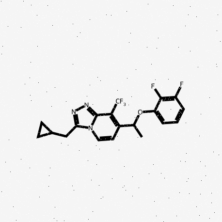 CC(Oc1cccc(F)c1F)c1ccn2c(CC3CC3)nnc2c1C(F)(F)F